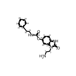 NCCn1c(=O)[nH]c2ccc(OC(=O)NCCc3ccccc3)cc21